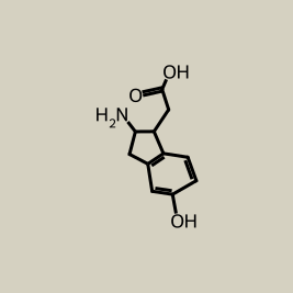 NC1Cc2cc(O)ccc2C1CC(=O)O